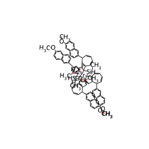 CC[SiH]1[C]2(C(C)=CC3=C2C=CC=CC3c2ccc3cc(OC)ccc3c2)[Zr]2([Cl])([Cl])([C]13C(C)=CC1=C3C=CC=CC1c1ccc3cc(OC)ccc3c1)[C]1(C(C)=CC3=C1C=CC=CC3c1ccc3cc(OC)ccc3c1)[SiH](CC)[C]21C(C)=CC2=C1C=CC=CC2c1ccc2cc(OC)ccc2c1